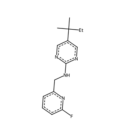 CCC(C)(C)c1cnc(NCc2cccc(F)n2)nc1